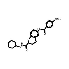 COc1ccc(C(=O)Nc2ccc3c(c2)CCC(C(=O)NOC2CCCCO2)O3)cc1